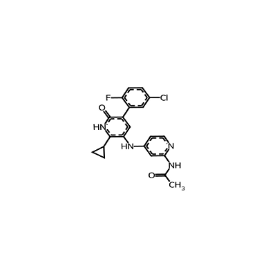 CC(=O)Nc1cc(Nc2cc(-c3cc(Cl)ccc3F)c(=O)[nH]c2C2CC2)ccn1